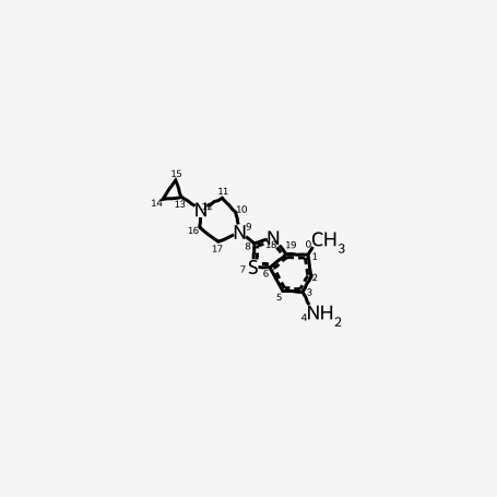 Cc1cc(N)cc2sc(N3CCN(C4CC4)CC3)nc12